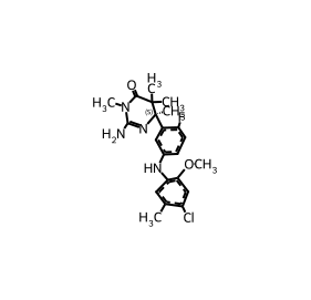 COc1cc(Cl)c(C)cc1Nc1ccc(F)c([C@@]2(C)N=C(N)N(C)C(=O)C2(C)C)c1